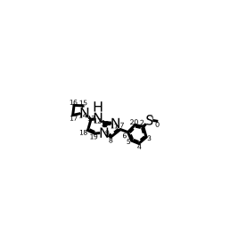 CSc1cccc(-c2cn3c(n2)NC(N2CCC2)C=C3)c1